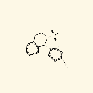 CS(=O)(=O)N1CCc2ccccc2[C@@H]1c1ccc(F)cc1